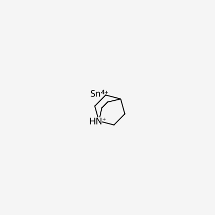 C1C[NH+]2CCC1CC2.[Sn+4]